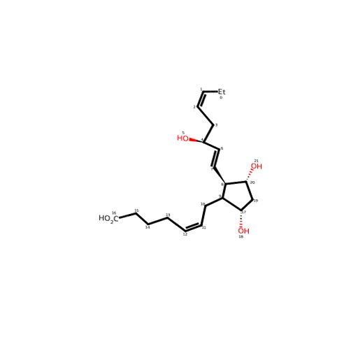 CC/C=C\C[C@H](O)/C=C/[C@@H]1C(C/C=C\CCCC(=O)O)[C@@H](O)C[C@H]1O